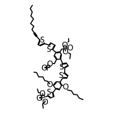 CCCCCCCCC#Cc1ccc(-c2ccc(-c3cc(COP=O)c(-c4ccc(-c5ccc(-c6cc(OCCCCCC)c(-c7ccc(P(=O)(OCC)OCC)s7)cc6OCCCCCC)s5)s4)cc3CP(=O)(OCC)OCC)s2)s1